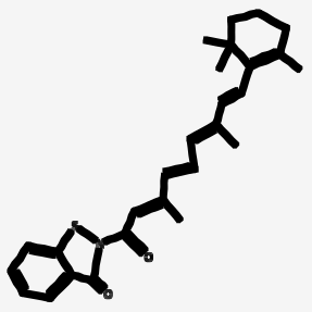 CC1=C(/C=C/C(C)=C/C=C/C(C)=C/C(=O)n2sc3ccccc3c2=O)C(C)(C)CCC1